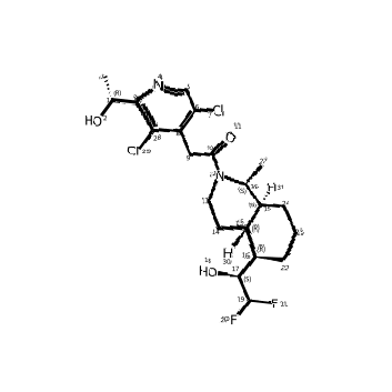 C[C@@H](O)c1ncc(Cl)c(CC(=O)N2CC[C@H]3[C@H]([C@H](O)C(F)F)CCC[C@@H]3[C@@H]2C)c1Cl